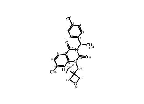 C[C@H](c1ccc(Cl)cc1)n1c(=O)c2ccc(Cl)cc2n(CC2(C)COC2)c1=O